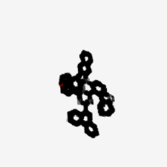 c1ccc(C2=NC(c3cc4ccccc4c4ccccc34)=NC(c3c(-n4c5cc6ccccc6cc5c5c6ccccc6ccc54)ccc4oc5ccccc5c34)N2)cc1